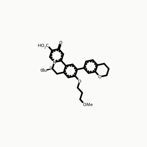 COCCCOc1cc2c(cc1-c1ccc3c(c1)OCCC3)-c1cc(=O)c(C(=O)O)cn1[C@H](C(C)(C)C)C2